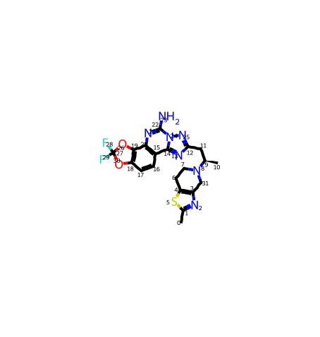 Cc1nc2c(s1)CCN([C@H](C)Cc1nc3c4ccc5c(c4nc(N)n3n1)OC(F)(F)O5)C2